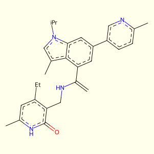 C=C(NCc1c(CC)cc(C)[nH]c1=O)c1cc(-c2ccc(C)nc2)cc2c1c(C)cn2C(C)C